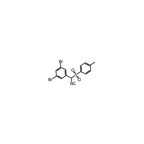 [C-]#[N+]C(c1cc(Br)cc(Br)c1)S(=O)(=O)c1ccc(C)cc1